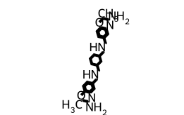 CC1Oc2ccc(CNCC3CCCC(CNCc4ccc5c(c4)N=C(N)C(C)O5)C3)cc2N=C1N